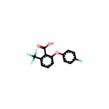 O=C(O)c1c(Oc2ccc(F)cc2)cccc1C(F)(F)F